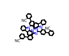 N#Cc1cccc(-c2cccc(-c3nc(-c4ccc(-c5ccccc5C#N)cc4-n4c5ccccc5c5ccccc54)nc(-c4ccc(-c5ccccc5C#N)cc4-n4c5ccccc5c5ccccc54)n3)c2)c1